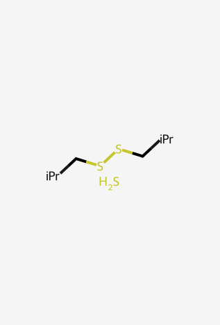 CC(C)CSSCC(C)C.S